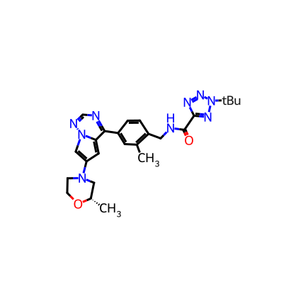 Cc1cc(-c2ncnn3cc(N4CCO[C@@H](C)C4)cc23)ccc1CNC(=O)c1nnn(C(C)(C)C)n1